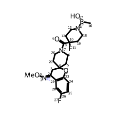 CO/N=C1\CC2(CCN(C(=O)C3(F)CCN(B(C)O)CC3)CC2)Oc2ccc(F)cc21